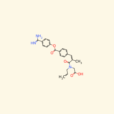 C=CCN(CC(=O)O)C(=O)C(C)=Cc1ccc(C(=O)Oc2ccc(C(=N)N)cc2)cc1